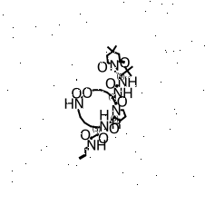 C=CCNC(=O)C(=O)[C@@H]1CCCCNC(=O)OCCC[C@H](NC(=O)N[C@H](CN2C(=O)CC(C)(C)CC2=O)C(C)(C)C)C(=O)N2CCC[C@H]2C(=O)N1